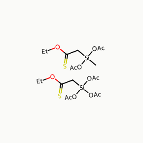 CCOC(=S)C[Si](C)(OC(C)=O)OC(C)=O.CCOC(=S)C[Si](OC(C)=O)(OC(C)=O)OC(C)=O